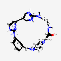 CN1CCCN(C)c2ncc(cn2)-c2ccnc(n2)Nc2cccc(c2)CN2CCN(CC2)CC1=O